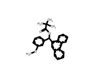 COc1cccc(C(OC(=O)C(C)(C)C)c2cc3ccccc3c3ccccc23)c1